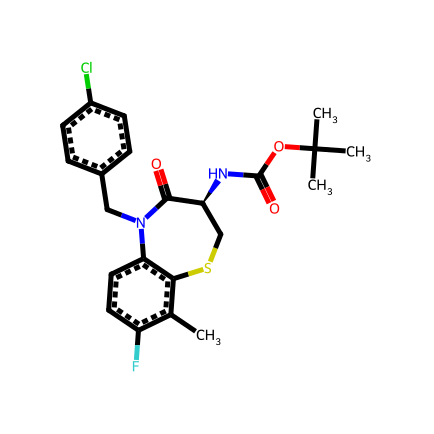 Cc1c(F)ccc2c1SC[C@H](NC(=O)OC(C)(C)C)C(=O)N2Cc1ccc(Cl)cc1